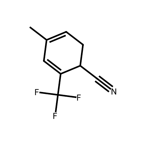 CC1=CCC(C#N)C(C(F)(F)F)=C1